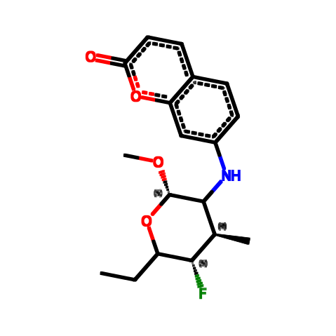 CCC1O[C@H](OC)C(Nc2ccc3ccc(=O)oc3c2)[C@@H](C)[C@@H]1F